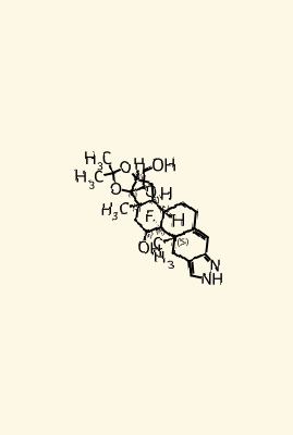 CC1(C)O[C@@H]2C[C@H]3[C@@H]4CCC5=Cc6n[nH]cc6C[C@]5(C)[C@@]4(F)[C@@H](O)C[C@]3(C)[C@]2(C(=O)CO)O1